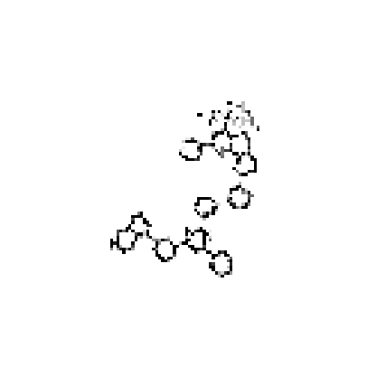 CC(C)(C)c1cc(-c2ccccc2)nc2c1ccc1ccc(-c3cccc(-c4cccc(-c5nc(-c6ccccc6)cc(-c6cccc(-c7cccc8cnccc78)c6)n5)c4)c3)nc12